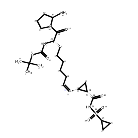 CC(C)(C)OC(=O)N[C@@H](CCCCC/C=C\[C@@H]1C[C@@H]1C(=O)NS(=O)(=O)C1CC1)C(=O)N1CCCC1N